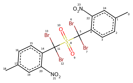 Cc1ccc(C(Br)(Br)S(=O)(=O)C(Br)(Br)c2ccc(C)cc2[N+](=O)[O-])c([N+](=O)[O-])c1